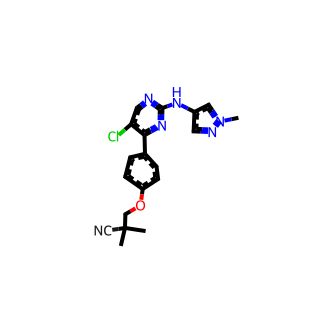 Cn1cc(Nc2ncc(Cl)c(-c3ccc(OCC(C)(C)C#N)cc3)n2)cn1